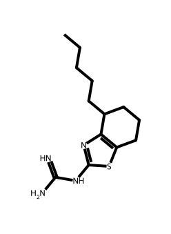 CCCCCC1CCCc2sc(NC(=N)N)nc21